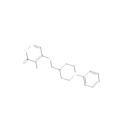 O=c1[nH]ncc(NCC2CCN(c3ccccc3)CC2)c1C(F)(F)F